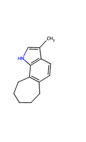 Cc1c[nH]c2c3c(ccc12)CCCCC3